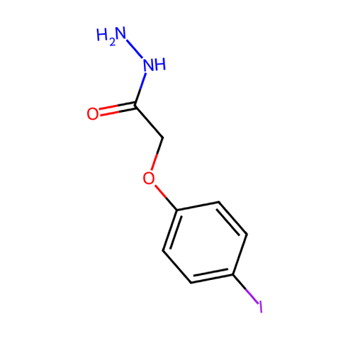 NNC(=O)COc1ccc(I)cc1